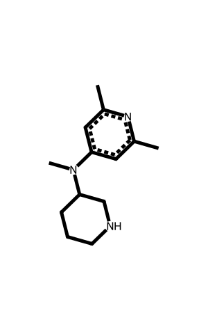 Cc1cc(N(C)C2CCCNC2)cc(C)n1